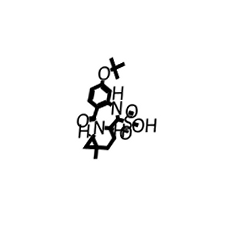 CC(C)(C)Oc1ccc2c(c1)NC(S(=O)(=O)O)[C@@H]1CCC3(C)C[C@H]3N1C2=O